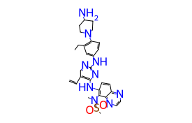 C=Cc1cnc(Nc2ccc(N3CCC(N)CC3)c(CC)c2)nc1Nc1ccc2nccnc2c1N(C)S(C)(=O)=O